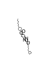 CCCCCCC1CCC(C(=O)Oc2ccc(-c3ncc(OCCCCCC4CCCC4)cn3)cc2)CC1